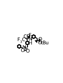 CC(C(C(=O)Nc1cc(CC2(C(=O)OC(C)(C)C)CC2)ccc1F)c1ccc(CN2N=C(c3ccccc3)OCC2=O)cc1)C(F)(F)F